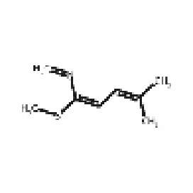 C=N/C(=C\C=C(C)C)SC